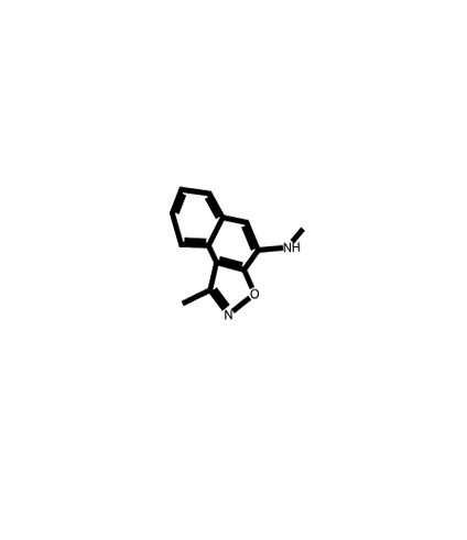 CNc1cc2ccccc2c2c(C)noc12